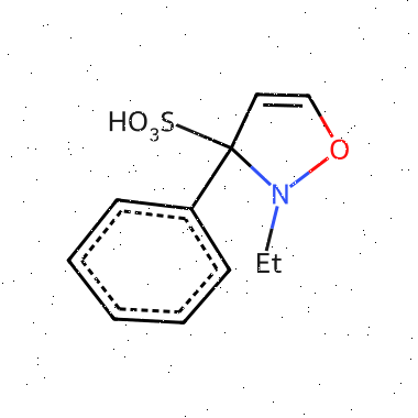 CCN1OC=CC1(c1ccccc1)S(=O)(=O)O